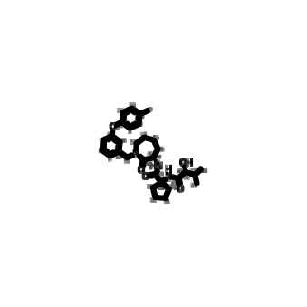 Cc1ccc(Oc2cccc(CN3CCCC[C@H](NC(=O)C4(NC(=O)[C@@H](O)C(C)C)CCCC4)C3=O)c2)cc1